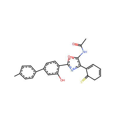 CC(=O)Nc1oc(-c2ccc(-c3ccc(C)cc3)cc2O)nc1C1=CC=CCC1=S